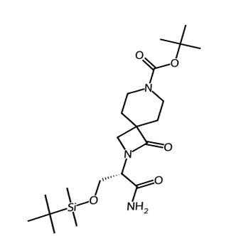 CC(C)(C)OC(=O)N1CCC2(CC1)CN([C@@H](CO[Si](C)(C)C(C)(C)C)C(N)=O)C2=O